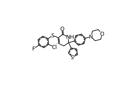 O=C1NC(c2ccc(N3CCOCC3)cc2)(c2ccsc2)C[C]=C1Sc1ccc(F)cc1Cl